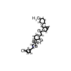 CC1CCCN(CC2C3CC3CN2C(=O)CN2CCC[C@H](NS(=O)(=O)/C=C/c3ccc(Cl)s3)C2=O)C1